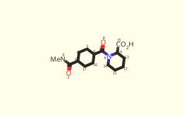 CNC(=O)C1CCC(C(=O)N2CCCCC2C(=O)O)CC1